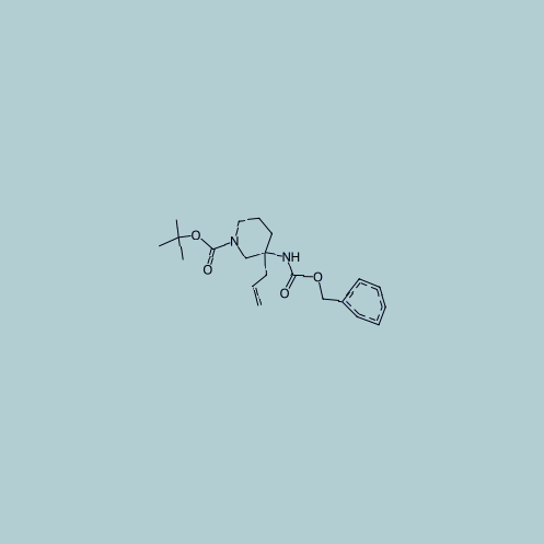 C=CCC1(NC(=O)OCc2ccccc2)CCCN(C(=O)OC(C)(C)C)C1